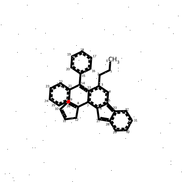 CCCc1cc2c(c(C3=CC=CC3)c1=C(c1ccccc1)c1ccccc1)[C]=c1ccccc1=2